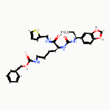 O=C(O)C[C@H](NC(=O)N[C@@H](CCCCNC(=O)OCc1ccccc1)C(=O)NCc1cccs1)c1ccc2c(c1)OCO2